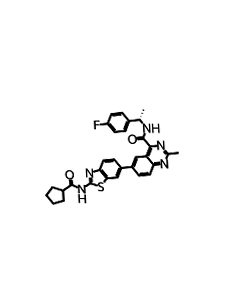 Cc1nc(C(=O)N[C@@H](C)c2ccc(F)cc2)c2cc(-c3ccc4nc(NC(=O)C5CCCC5)sc4c3)ccc2n1